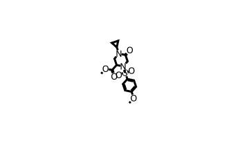 COC(=O)C1CN(C2CC2)C(=O)CN1S(=O)(=O)c1ccc(OC)cc1